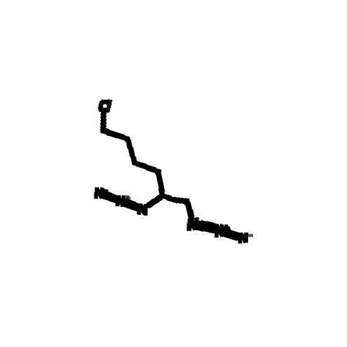 [N-]=[N+]=NCC(CCCCCl)N=[N+]=[N-]